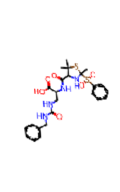 CC1(C)SC(C)(S(=O)(=O)c2ccccc2)NC1C(=O)NC(CNC(=O)NCc1ccccc1)C(=O)O